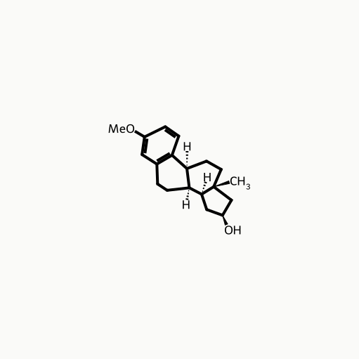 COc1ccc2c(c1)CC[C@H]1[C@@H]2CC[C@]2(C)C[C@@H](O)C[C@@H]12